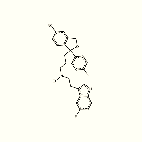 CCN(CCCC1(c2ccc(F)cc2)OCc2cc(C#N)ccc21)CCc1c[nH]c2ccc(F)cc12